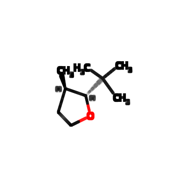 C[C@@H]1CCO[C@H]1C(C)(C)C